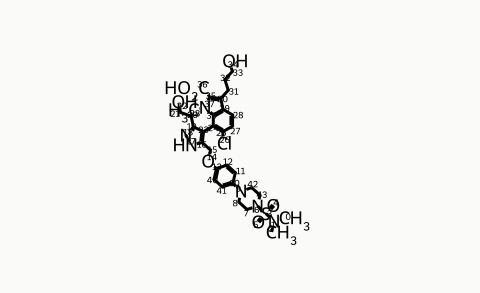 CN(C)S(=O)(=O)N1CCN(c2ccc(OCc3[nH]nc(CCO)c3-c3c(Cl)ccc4c(CCCO)c(C(=O)O)n(C)c34)cc2)CC1